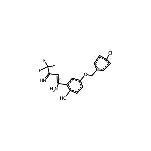 N=C(/C=C(\N)c1cc(OCc2ccc(Cl)cc2)ccc1O)C(F)(F)F